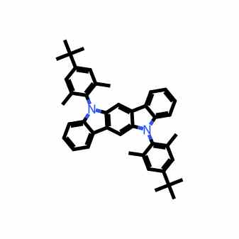 Cc1cc(C(C)(C)C)cc(C)c1-n1c2ccccc2c2cc3c(cc21)c1ccccc1n3-c1c(C)cc(C(C)(C)C)cc1C